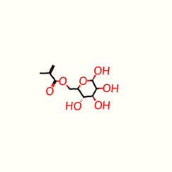 C=C(C)C(=O)OCC1O[C@@H](O)C(O)[C@@H](O)[C@@H]1O